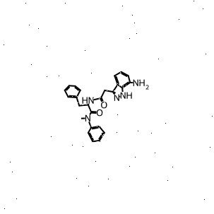 CN(C(=O)C(Cc1ccccc1)NC(=O)Cc1n[nH]c2c(N)cccc12)c1ccccc1